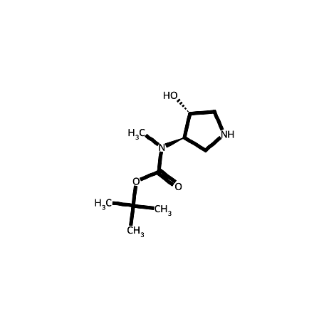 CN(C(=O)OC(C)(C)C)[C@@H]1CNC[C@H]1O